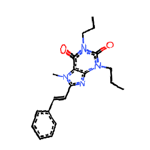 CCCn1c(=O)c2c(nc(C=Cc3ccccc3)n2C)n(CCC)c1=O